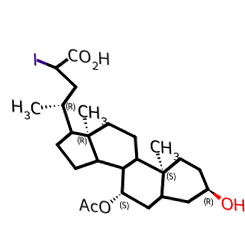 CC(=O)O[C@H]1CC2C[C@H](O)CC[C@]2(C)C2CC[C@@]3(C)C(CCC3[C@H](C)CC(I)C(=O)O)C21